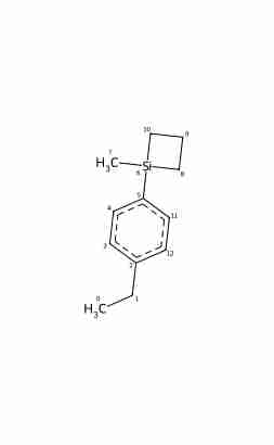 CCc1ccc([Si]2(C)CCC2)cc1